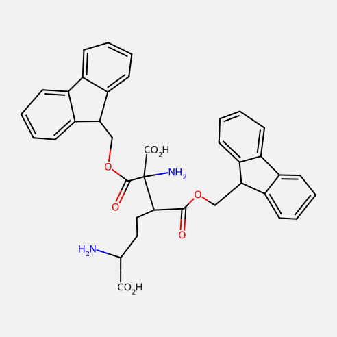 NC(CCC(C(=O)OCC1c2ccccc2-c2ccccc21)C(N)(C(=O)O)C(=O)OCC1c2ccccc2-c2ccccc21)C(=O)O